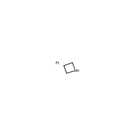 C1CNC1.[Pt]